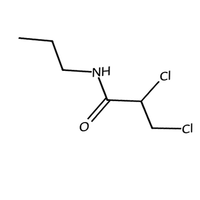 CCCNC(=O)C(Cl)CCl